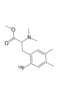 COC(=O)C(Cc1cc(C)c(C)cc1[18F])N(C)C